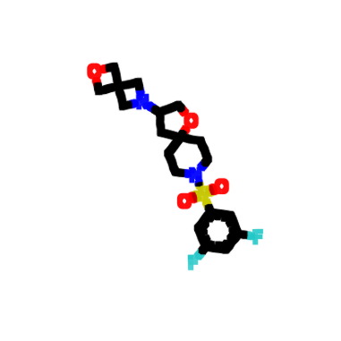 O=S(=O)(c1cc(F)cc(F)c1)N1CCC2(CC1)CC(N1CC3(COC3)C1)CO2